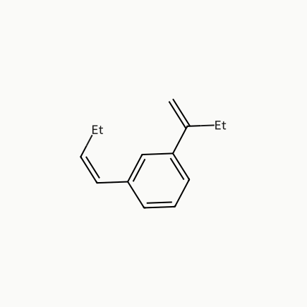 C=C(CC)c1cccc(/C=C\CC)c1